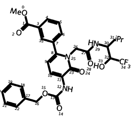 COC(=O)c1cccc(-c2ccc(NC(=O)OCc3ccccc3)c(=O)n2CC(=O)NC(C(C)C)C(O)C(F)(F)F)c1